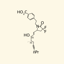 CCCC#CC[C@H](C)[C@H](O)C=CC1CC(F)(F)C(=O)N1CCc1ccc(C(=O)O)cc1